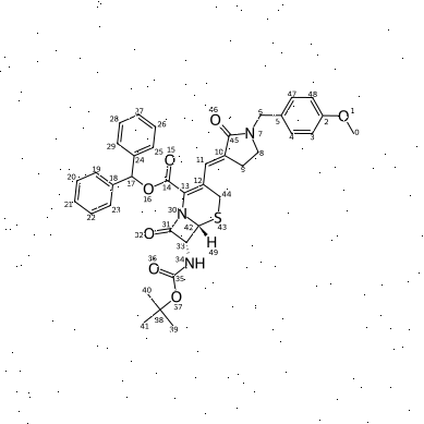 COc1ccc(CN2CC/C(=C\C3=C(C(=O)OC(c4ccccc4)c4ccccc4)N4C(=O)[C@@H](NC(=O)OC(C)(C)C)[C@H]4SC3)C2=O)cc1